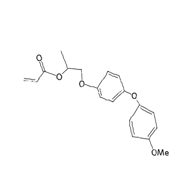 C=CC(=O)OC(C)COc1ccc(Oc2ccc(OC)cc2)cc1